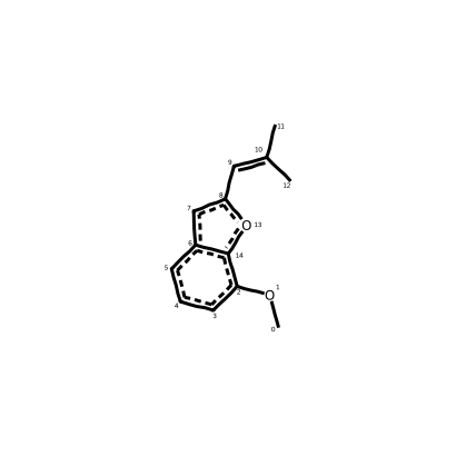 COc1cccc2cc(C=C(C)C)oc12